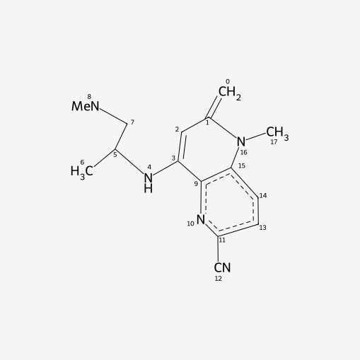 C=C1C=C(NC(C)CNC)c2nc(C#N)ccc2N1C